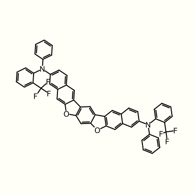 FC(F)(F)c1ccccc1N(c1ccccc1)c1ccc2cc3c(cc2c1)oc1cc2oc4cc5cc(N(c6ccccc6)c6ccccc6C(F)(F)F)ccc5cc4c2cc13